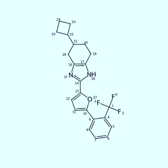 FC(F)(F)c1ccccc1-c1ccc(-c2nc3c([nH]2)CCC(C2CCC2)C3)o1